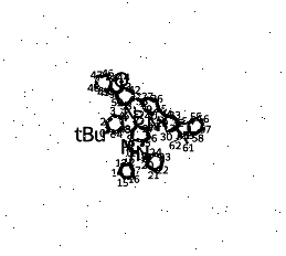 CC(C)(C)c1ccc(N2B3c4cc5nc(-c6ccccc6)n(-c6ccccc6)c5cc4-n4c5cc6c(cc5c5ccc(c3c54)-c3cc4oc5ccccc5c4cc32)-c2ccccc2C6(C)C)cc1